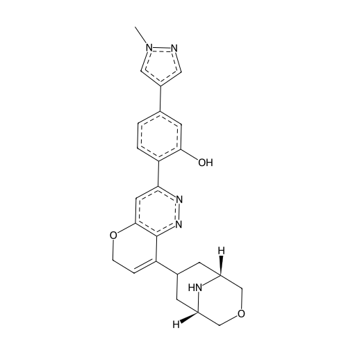 Cn1cc(-c2ccc(-c3cc4c(nn3)C(C3C[C@H]5COC[C@@H](C3)N5)=CCO4)c(O)c2)cn1